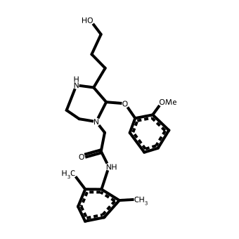 COc1ccccc1OC1C(CCCO)NCCN1CC(=O)Nc1c(C)cccc1C